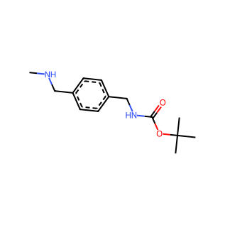 CNCc1ccc(CNC(=O)OC(C)(C)C)cc1